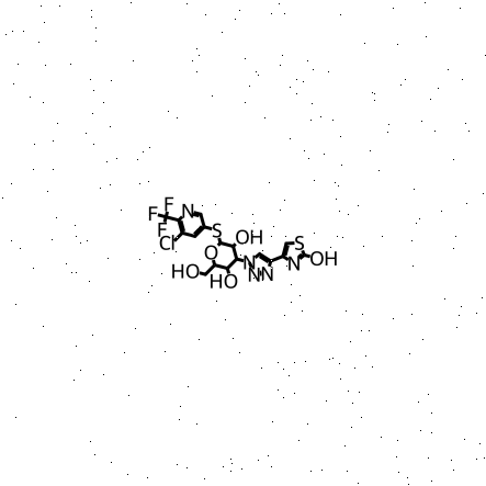 OCC1OC(Sc2cnc(C(F)(F)F)c(Cl)c2)C(O)C(n2cc(-c3csc(O)n3)nn2)C1O